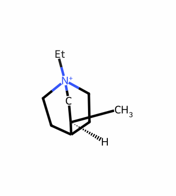 CC[N+]12CCC(CC1)[C@H](C)C2